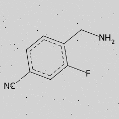 N#Cc1ccc(CN)c(F)c1